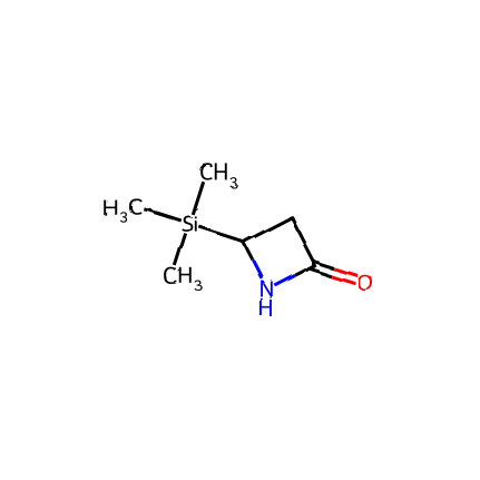 C[Si](C)(C)C1CC(=O)N1